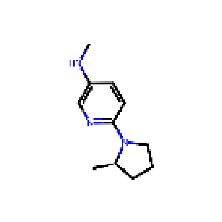 CNc1ccc(N2CCC[C@H]2C)nc1